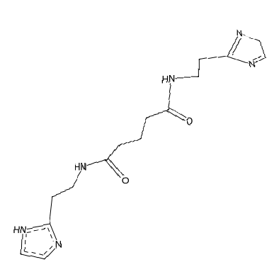 O=C(CCCC(=O)NCCc1ncc[nH]1)NCCC1=NCC=N1